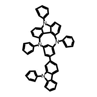 c1ccc(N2c3cc(-c4ccc5c6ccccc6n(-c6ccccc6)c5c4)cc(c3)N(c3ccccc3)c3cccc4c3c3c2cccc3n4-c2ccccc2)cc1